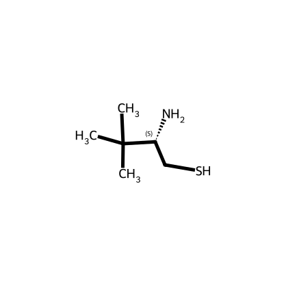 CC(C)(C)[C@H](N)CS